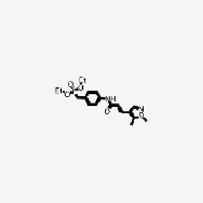 CCOP(=O)(Cc1ccc(NC(=O)C=Cc2cnn(C)c2C)cc1)OCC